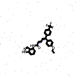 CCOc1ccc(/C(=C\C=C\C(=O)Nc2cccc3[nH]ncc23)c2ccc(C(F)(F)F)cc2)cc1